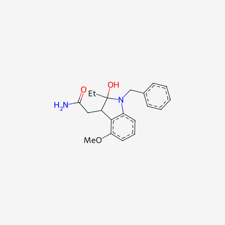 CCC1(O)C(CC(N)=O)c2c(OC)cccc2N1Cc1ccccc1